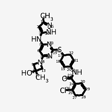 Cc1cc(Nc2cc(N3CC(C)(O)C3)nc(SC3C=CC(NC(=O)C4=C(Cl)CCC=C4)=CC3)n2)[nH]n1